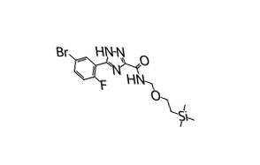 C[Si](C)(C)CCOCNC(=O)c1n[nH]c(-c2cc(Br)ccc2F)n1